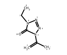 [CH2]C(=C)n1nnn(CC)c1=O